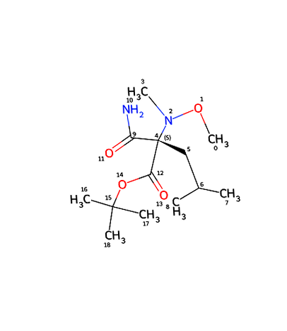 CON(C)[C@@](CC(C)C)(C(N)=O)C(=O)OC(C)(C)C